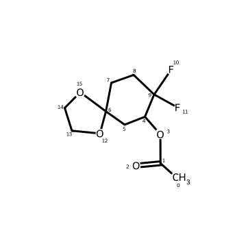 CC(=O)OC1CC2(CCC1(F)F)OCCO2